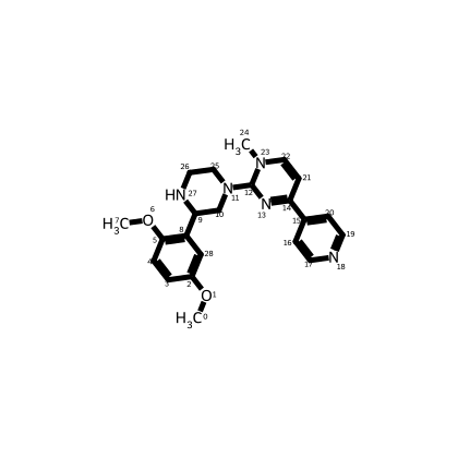 COc1ccc(OC)c(C2CN(C3N=C(c4ccncc4)C=CN3C)CCN2)c1